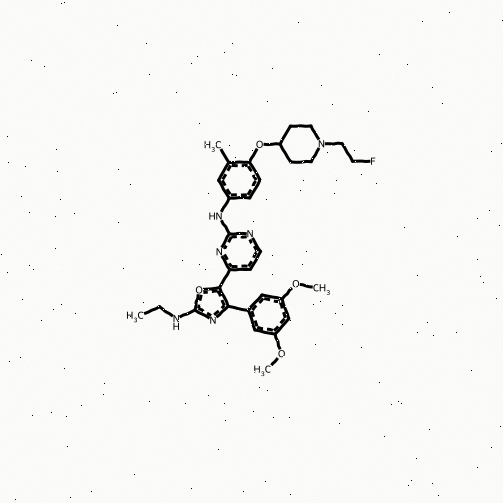 CCNc1nc(-c2cc(OC)cc(OC)c2)c(-c2ccnc(Nc3ccc(OC4CCN(CCF)CC4)c(C)c3)n2)o1